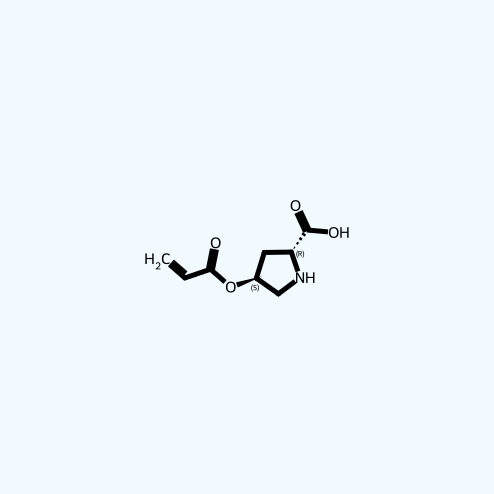 C=CC(=O)O[C@@H]1CN[C@@H](C(=O)O)C1